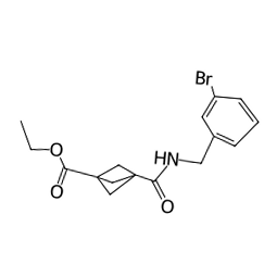 CCOC(=O)C12CC(C(=O)NCc3cccc(Br)c3)(C1)C2